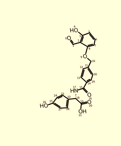 O=Cc1c(O)cccc1OCc1ccc(C(=O)N[C@H](C(=O)O)c2ccc(O)cc2)cc1